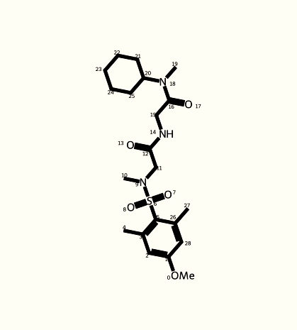 COc1cc(C)c(S(=O)(=O)N(C)CC(=O)NCC(=O)N(C)C2CCCCC2)c(C)c1